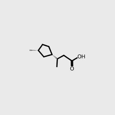 CC(CC(=O)O)[C@H]1CC[C@@H](C)C1